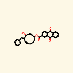 O=C(OC1C#CC(O)/C(=C/c2ccccc2)C#CCCC1)c1ccc2c(c1)C(=O)c1ccccc1C2=O